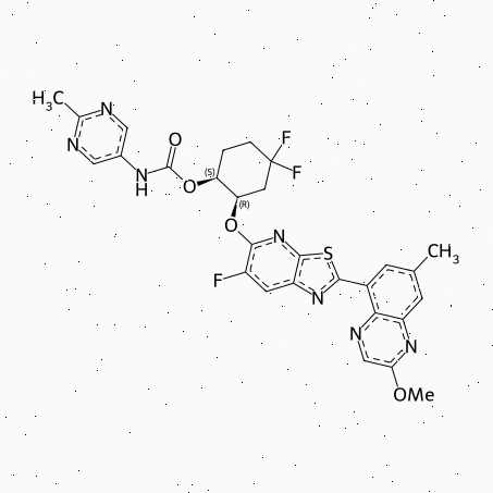 COc1cnc2c(-c3nc4cc(F)c(O[C@@H]5CC(F)(F)CC[C@@H]5OC(=O)Nc5cnc(C)nc5)nc4s3)cc(C)cc2n1